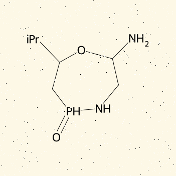 CC(C)C1C[PH](=O)NCC(N)O1